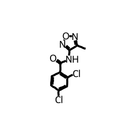 Cc1nonc1NC(=O)c1ccc(Cl)cc1Cl